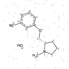 CN1CCC[C@H]1COc1cccc(C#N)c1.Cl